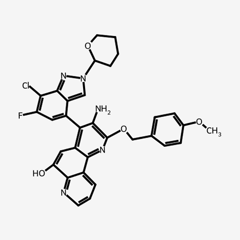 COc1ccc(COc2nc3c(cc(O)c4ncccc43)c(-c3cc(F)c(Cl)c4nn(C5CCCCO5)cc34)c2N)cc1